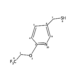 FC(F)(F)COc1ccc(CS)cn1